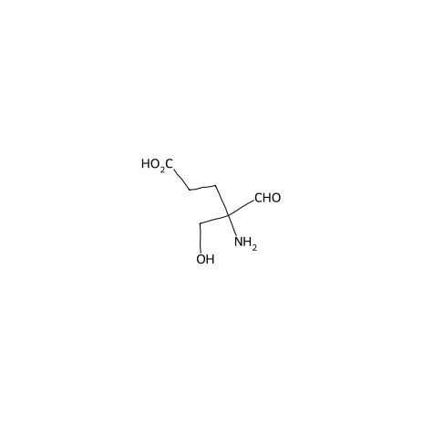 NC(C=O)(CO)CCC(=O)O